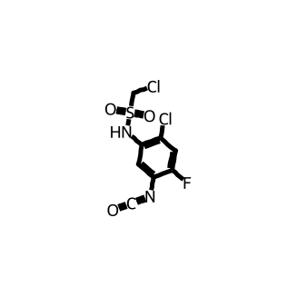 O=C=Nc1cc(NS(=O)(=O)CCl)c(Cl)cc1F